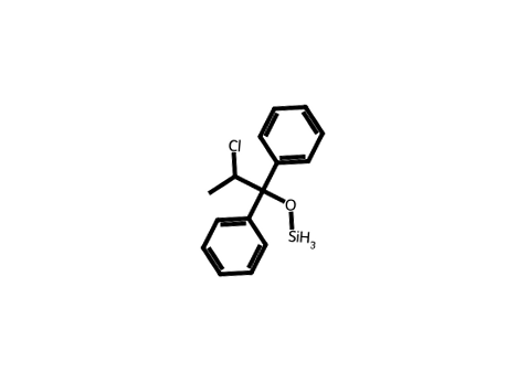 CC(Cl)C(O[SiH3])(c1ccccc1)c1ccccc1